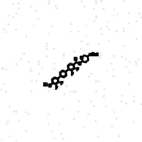 CCCCCCCCC1CCC(OC(=O)c2ccc(-c3ccc(-c4ccc(OCC)c(F)c4F)cc3)c(F)c2F)OC1